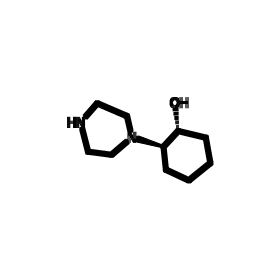 O[C@@H]1CCCC[C@H]1N1CCNCC1